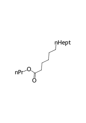 CCCCCCCCCCCCC(=O)OCCC